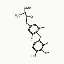 CON(C)C(=O)Cc1cc(Cl)c(Cc2ccc(O)c(C(C)C)c2F)c(Cl)c1